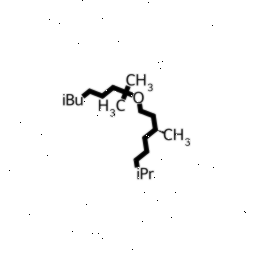 CCC(C)CCCC(C)(C)OCC[C@H](C)CCCC(C)C